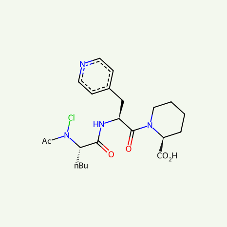 CCCC[C@@H](C(=O)N[C@@H](Cc1ccncc1)C(=O)N1CCCC[C@H]1C(=O)O)N(Cl)C(C)=O